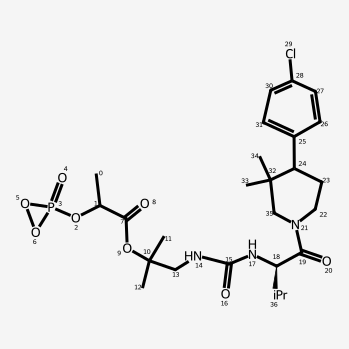 CC(OP1(=O)OO1)C(=O)OC(C)(C)CNC(=O)N[C@@H](C(=O)N1CCC(c2ccc(Cl)cc2)C(C)(C)C1)C(C)C